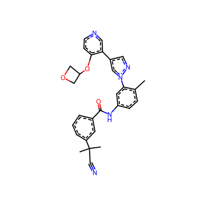 Cc1ccc(NC(=O)c2cccc(C(C)(C)C#N)c2)cc1-n1cc(-c2cnccc2OC2COC2)cn1